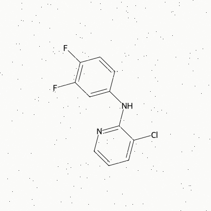 Fc1c[c]c(Nc2ncccc2Cl)cc1F